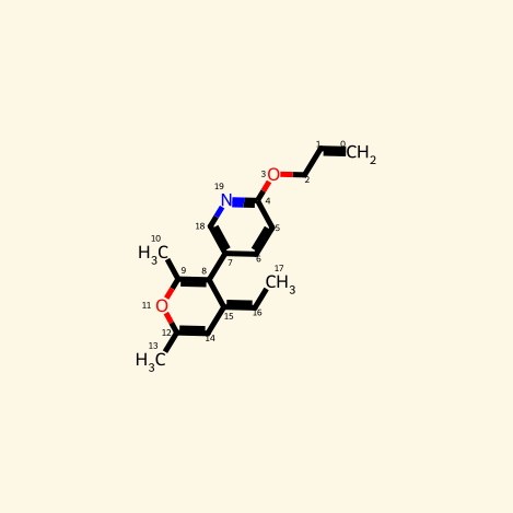 C=CCOc1ccc(C2=C(C)OC(C)=C/C2=C/C)cn1